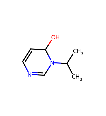 CC(C)N1C=NC=CC1O